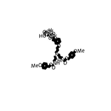 COc1ccc(COC(=O)NCCCN(CCCNC(=O)OCc2ccc(OC)cc2)CCCOc2ccc3sc(S(=O)(=O)NCP(=O)(O)O)cc3c2)cc1